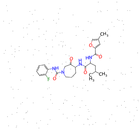 Cc1coc(C(=O)NC(CC(C)C)C(=O)NC2CCCN(C(=O)Nc3ccccc3F)CC2=O)c1